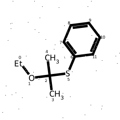 CCOC(C)(C)Sc1ccccc1